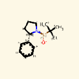 CCC(C)(C)[S@+]([O-])N1CCC[C@H]1c1ccccc1